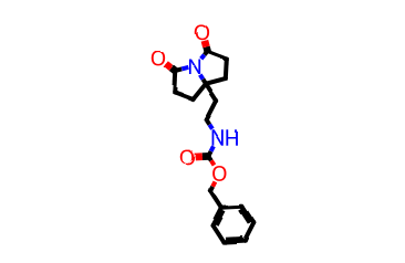 O=C(NCCC12CCC(=O)N1C(=O)CC2)OCc1ccccc1